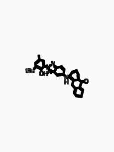 Cc1cc(-n2nc3ccc(Nc4cccc5c4Cc4ccccc4C5=O)cc3n2)c(O)c(C(C)(C)C)c1